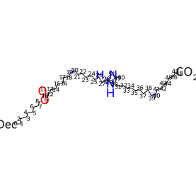 CCCCCCCCCCCCCCCCCCOC(=O)CCCCCCC/C=C\CCCCCCCCNC(CCCCCCCC/C=C\CCCCCCCC(=O)O)C(C)N